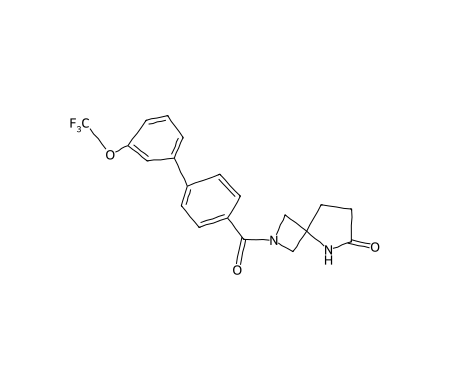 O=C1CCC2(CN(C(=O)c3ccc(-c4cccc(OC(F)(F)F)c4)cc3)C2)N1